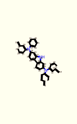 C=C/C=C\C(=C/C)N(C(/C=C\C)=C/C=C)c1ccc2c(c1)[nH]c1cc(N(C(/C=C\C)=C/C=C)c3ccccc3)ccc12